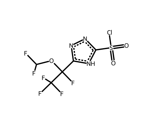 O=S(=O)(Cl)c1nnc(C(F)(OC(F)F)C(F)(F)F)[nH]1